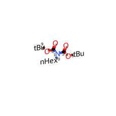 CCCCCCN(C(=O)OC(C)(C)C)C(=O)OC(C)(C)C